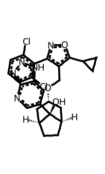 O[C@@]1(c2cnc3nn[nH]c3c2)[C@@H]2CC[C@H]1C[C@H](OCc1c(-c3c(Cl)cccc3Cl)noc1C1CC1)C2